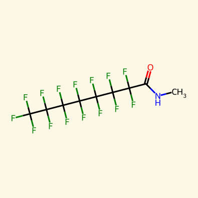 CNC(=O)C(F)(F)C(F)(F)C(F)(F)C(F)(F)C(F)(F)C(F)(F)C(F)(F)F